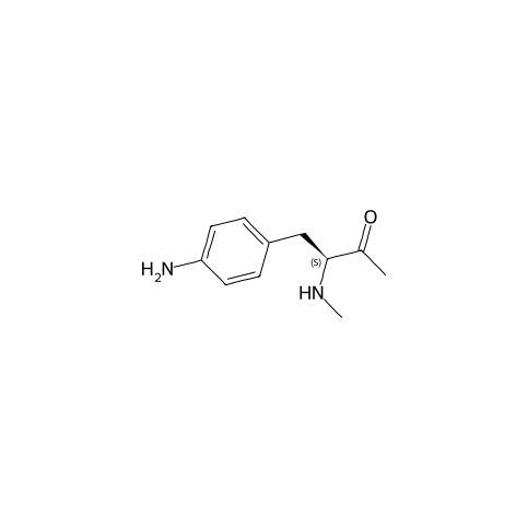 CN[C@@H](Cc1ccc(N)cc1)C(C)=O